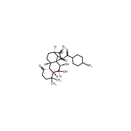 C=C1C(=O)[C@]23[C@H](OC(=O)C4CCC(N)CC4)[C@H]1CC[C@H]2[C@@]12CO[C@]3(O)[C@@H](O)[C@@H]1C(C)(C)CCC2=O